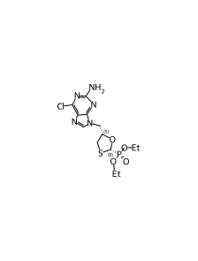 CCOP(=O)(OCC)[C@H]1O[C@@H](Cn2cnc3c(Cl)nc(N)nc32)CS1